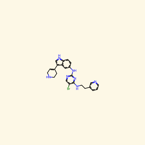 Brc1cnc(Nc2ccc3[nH]cc(C4=CCNCC4)c3c2)nc1NCCc1cccnc1